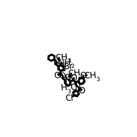 CCN(Cc1cc(C(=O)OCc2cccc(C(OC(C)=O)c3c(C)n(C(=O)c4ccc(Cl)cc4)c4ccc(OC)cc34)n2)cc(Br)c1N)C1CCCCC1